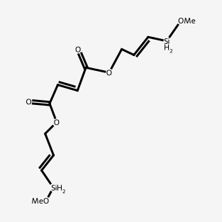 CO[SiH2]C=CCOC(=O)C=CC(=O)OCC=C[SiH2]OC